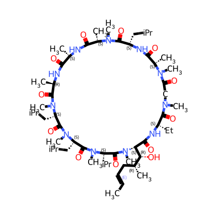 C/C=C/C[C@@H](C)[C@@H](O)[C@H]1C(=O)N[C@@H](CC)C(=O)N(C)CC(=O)N(C)[C@@H](C)C(=O)N[C@@H](CC(C)C)C(=O)N(C)[C@@H](C)C(=O)N[C@@H](C)C(=O)N[C@H](C)C(=O)N(C)[C@@H](CC(C)C)C(=O)N(C)[C@@H](CC(C)C)C(=O)N(C)[C@@H](C(C)C)C(=O)N1C